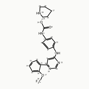 O=C(Nc1ccc(Nc2cc(-c3ccccc3OC(F)(F)F)ncn2)cc1)O[C@H]1CCCCN1